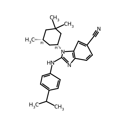 CC(C)c1ccc(Nc2nc3ccc(C#N)cc3n2[C@@H]2C[C@H](C)CC(C)(C)C2)cc1